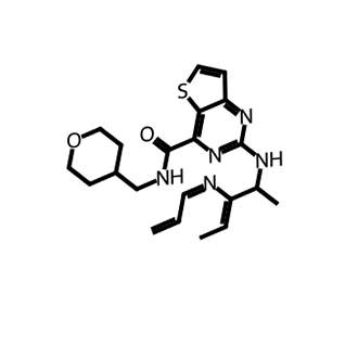 C=C/C=N\C(=C/C)C(C)Nc1nc(C(=O)NCC2CCOCC2)c2sccc2n1